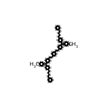 Cc1ccc(N(c2ccc(C=CC=Cc3ccccc3)cc2)c2ccc(C=Cc3ccc(C=Cc4ccc(N(c5ccc(C)cc5)c5ccc(C=CC=Cc6ccccc6)cc5)cc4)cc3)cc2)cc1